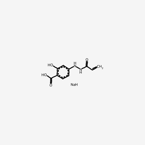 C=CC(=O)NNc1ccc(C(=O)O)c(O)c1.[NaH]